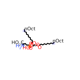 CCCCCCCC/C=C\CCCCCCCC(=O)OC[C@H](COP(=O)(O)CCC[C@H](N)C(=O)O)OC(=O)CCCCCCC/C=C\CCCCCCCC